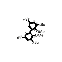 COc1c(-c2cc(C(C)(C)C)cc(C(C)(C)C)c2OC)cc(C(C)(C)C)cc1C(C)(C)C